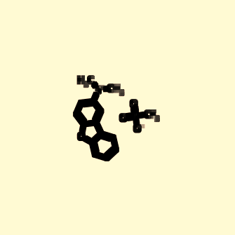 C[S+](C)c1ccc2oc3ccccc3c2c1.O=S(=O)([O-])C(F)(F)F